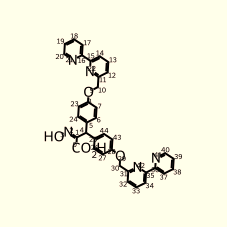 O=C(O)C(=NO)C(c1ccc(OCc2cccc(-c3ccccn3)n2)cc1)c1ccc(OCc2cccc(-c3ccccn3)n2)cc1